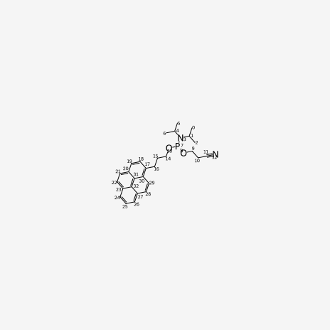 CC(C)N(C(C)C)P(OCCC#N)OCCCc1ccc2ccc3cccc4ccc1c2c34